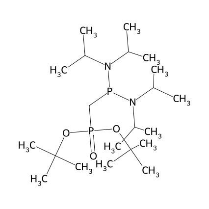 CC(C)N(C(C)C)P(CP(=O)(OC(C)(C)C)OC(C)(C)C)N(C(C)C)C(C)C